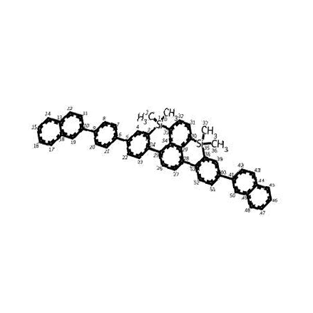 C[Si]1(C)c2cc(-c3ccc(-c4ccc5ccccc5c4)cc3)ccc2-c2ccc3c4c(ccc1c24)[Si](C)(C)c1cc(-c2ccc4ccccc4c2)ccc1-3